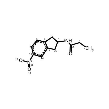 CCC(=O)NC1Cc2ccc([N+](=O)[O-])cc2C1